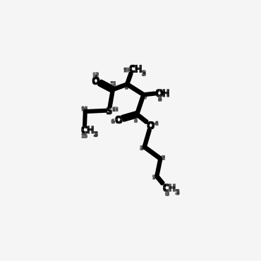 CCCCOC(=O)C(O)C(C)C(=O)SCC